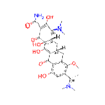 COc1c([C@H](C)N(C)C)cc(O)c2c1C[C@H]1C[C@H]3[C@H](N(C)C)C(O)=C(C(N)=O)C(=O)[C@@]3(O)C(O)=C1C2=O